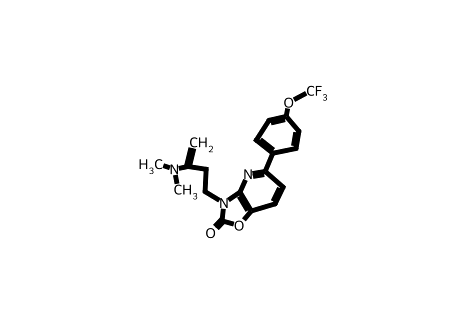 C=C(CCn1c(=O)oc2ccc(-c3ccc(OC(F)(F)F)cc3)nc21)N(C)C